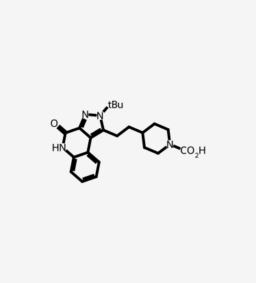 CC(C)(C)n1nc2c(=O)[nH]c3ccccc3c2c1CCC1CCN(C(=O)O)CC1